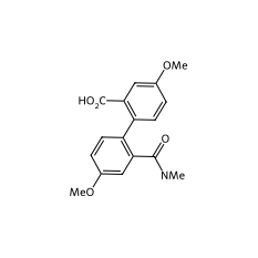 CNC(=O)c1cc(OC)ccc1-c1ccc(OC)cc1C(=O)O